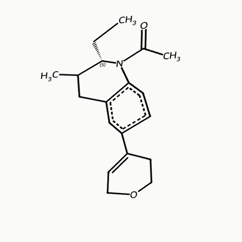 CC[C@H]1C(C)Cc2cc(C3=CCOCC3)ccc2N1C(C)=O